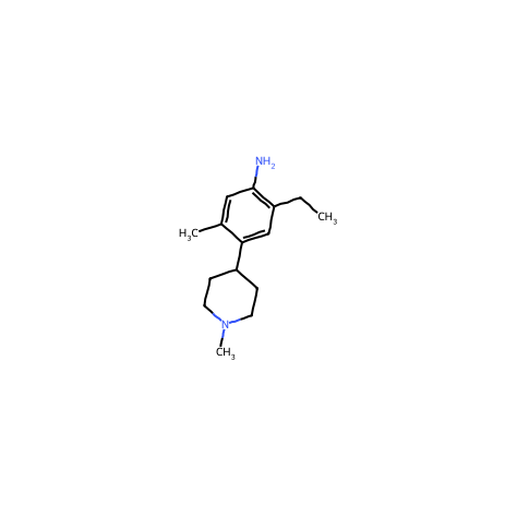 CCc1cc(C2CCN(C)CC2)c(C)cc1N